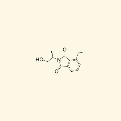 CCc1cccc2c1C(=O)N([C@H](C)CO)C2=O